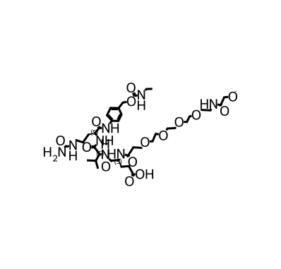 CCNC(=O)OCc1ccc(NC(=O)[C@H](CCCNC(N)=O)NC(=O)[C@@H](NC(=O)[C@H](CCC(=O)O)NC(=O)CCOCCOCCOCCOCCNC(=O)COC)C(C)C)cc1